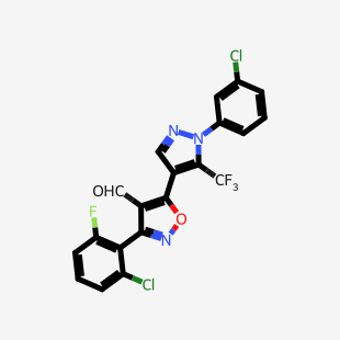 O=Cc1c(-c2c(F)cccc2Cl)noc1-c1cnn(-c2cccc(Cl)c2)c1C(F)(F)F